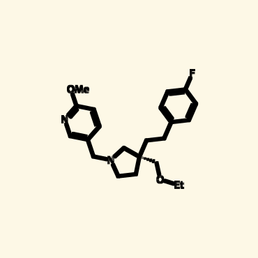 CCOC[C@]1(CCc2ccc(F)cc2)CCN(Cc2ccc(OC)nc2)C1